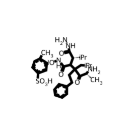 CC(C)CC(CCc1ccccc1)(C(=O)[C@@H](C)N)C(C(=O)NO)[C@H](C(=O)NN)C(C)C.Cc1ccc(S(=O)(=O)O)cc1